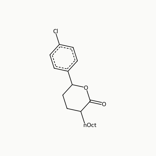 CCCCCCCCC1CCC(c2ccc(Cl)cc2)OC1=O